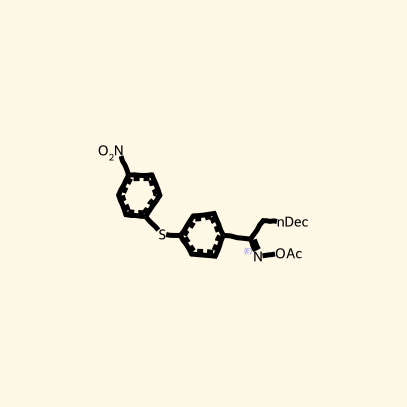 CCCCCCCCCCC/C(=N\OC(C)=O)c1ccc(Sc2ccc([N+](=O)[O-])cc2)cc1